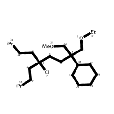 CCOCC(CCC(Cl)(CCC(C)C)CCC(C)C)(COC)C1CCCCC1